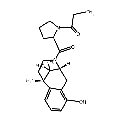 CCC(=O)N1CCCC1C(=O)N1CC[C@@]2(C)c3cccc(O)c3C[C@@H]1C2(C)C